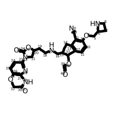 N#Cc1c(OCC2CCN2)ccc2c1CC(CNCCC1CN(c3ccc4c(n3)NC(=O)CO4)C(=O)O1)C2OC=O